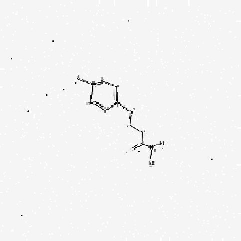 CCN(CC)C(=O)CCOc1ccc(C)cc1